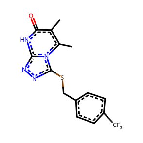 Cc1c(C)n2c(SCc3ccc(C(F)(F)F)cc3)nnc2[nH]c1=O